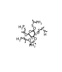 CPP(C)SO[C@@H]1C(OP(C)SP)[C@H](OP(C)SP)C(OP(C)SP)O[C@@H]1OSP(C)P